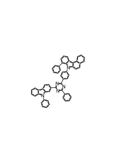 c1ccc(-c2nc(-c3ccc(-n4c5ccc6ccccc6c5c5cccc(-c6ccccc6)c54)cc3)nc(-c3ccc4c5ccccc5n(-c5ccccc5)c4c3)n2)cc1